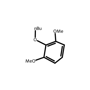 CCCCOc1c(OC)cccc1OC